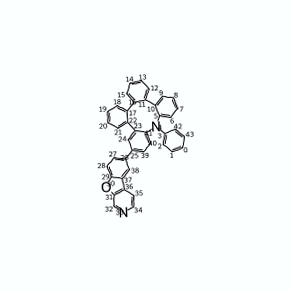 c1ccc(-n2c3ccccc3c3ccccc3c3ccccc3c3cc(-c4ccc5oc6cnccc6c5c4)ccc32)cc1